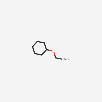 [CH2]CCCC[CH]OC1CCCCC1